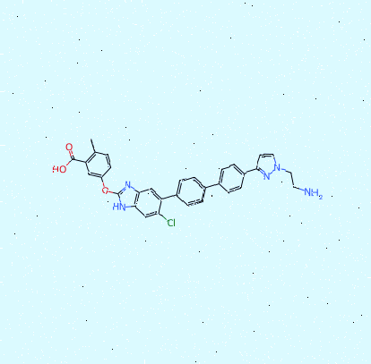 Cc1ccc(Oc2nc3cc(-c4ccc(-c5ccc(-c6ccn(CCN)n6)cc5)cc4)c(Cl)cc3[nH]2)cc1C(=O)O